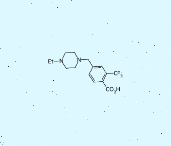 CCN1CCN(Cc2ccc(C(=O)O)c(C(F)(F)F)c2)CC1